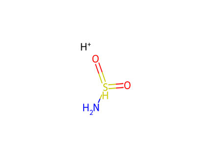 N[SH](=O)=O.[H+]